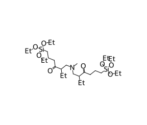 CCO[Si](CCCC(=O)C(CC)CN(C)CC(CC)C(=O)CCC[Si](OCC)(OCC)OCC)(OCC)OCC